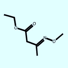 CCOC(=O)CC(C)=NOC